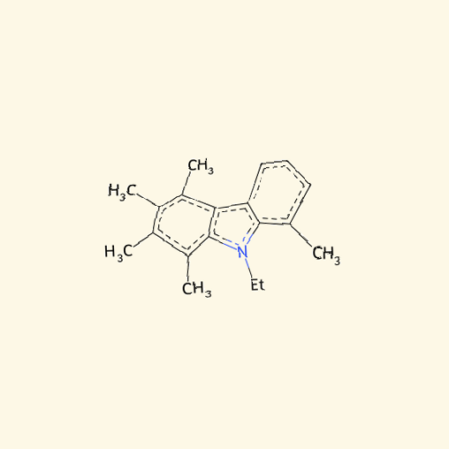 CCn1c2c(C)cccc2c2c(C)c(C)c(C)c(C)c21